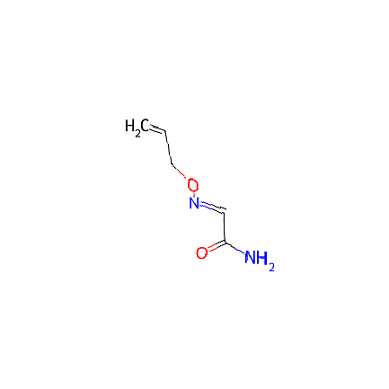 C=CCON=CC(N)=O